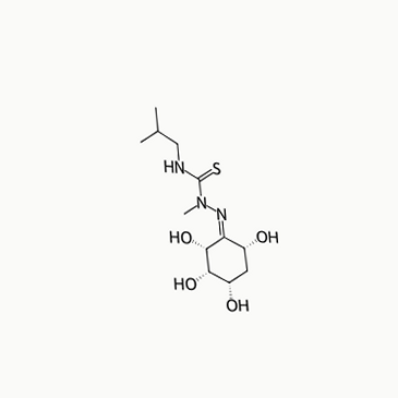 CC(C)CNC(=S)N(C)/N=C1/[C@H](O)C[C@H](O)[C@H](O)[C@@H]1O